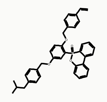 C=Cc1ccc(COc2ccc(OCc3ccc(CC(C)C)cc3)cc2P2(=O)Oc3ccccc3-c3ccccc32)cc1